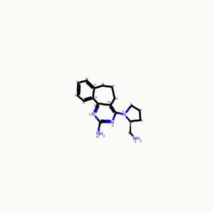 NC[C@@H]1CCCN1c1nc(N)nc2c1CCCc1ccccc1-2